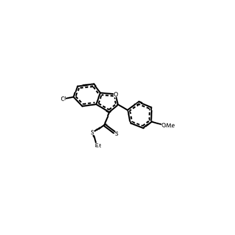 CCSC(=S)c1c(-c2ccc(OC)cc2)oc2ccc(Cl)cc12